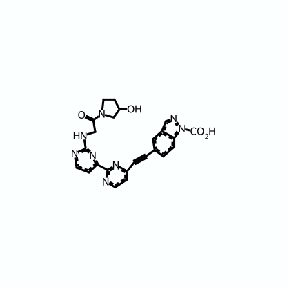 O=C(CNc1nccc(-c2nccc(C#Cc3ccc4c(cnn4C(=O)O)c3)n2)n1)N1CCC(O)C1